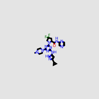 CN1CCN(c2nc(Nc3cc(C4CC4)n[nH]3)nc(N3CC(F)(F)CC3C(=O)Nc3cnccn3)n2)CC1